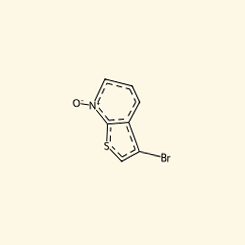 [O-][n+]1cccc2c(Br)csc21